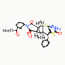 COC(=O)c1cccc(N2C(=O)[C@@H]3[C@H]4C[C@H]([C@@H]5Sc6[nH]c(=O)sc6[C@@H](c6ccccc6)[C@H]45)[C@@H]3C2=O)c1